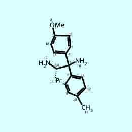 COc1ccc(C(N)(c2ccc(C)cc2)[C@@H](N)C(C)C)cc1